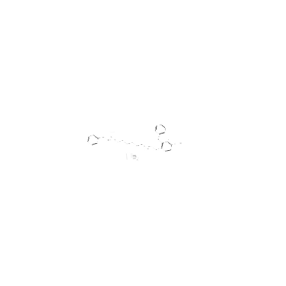 Br.Br.Oc1ccc(CCNCCCCCCNCCc2ccccc2)c(Cc2ccccc2)c1O